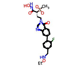 CCONCc1ccc(-c2ccc3c(=O)n(CC[C@H](C(=O)NO)S(C)(=O)=O)cnc3c2)c(F)c1